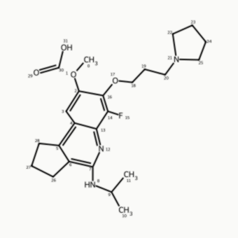 COc1cc2c3c(c(NC(C)C)nc2c(F)c1OCCCN1CCCC1)CCC3.O=CO